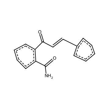 NC(=O)c1ccccc1C(=O)/C=C/c1ccccc1